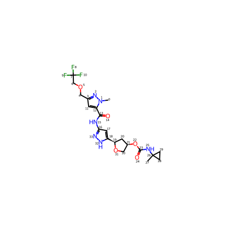 Cn1nc(COCC(F)(F)F)cc1C(=O)Nc1cc([C@H]2C[C@@H](OC(=O)NC3(C)CC3)CO2)[nH]n1